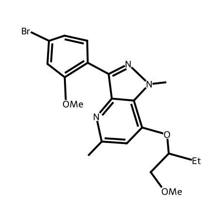 CCC(COC)Oc1cc(C)nc2c(-c3ccc(Br)cc3OC)nn(C)c12